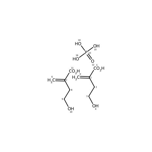 C=C(CCO)C(=O)O.C=C(CCO)C(=O)O.O=P(O)(O)O